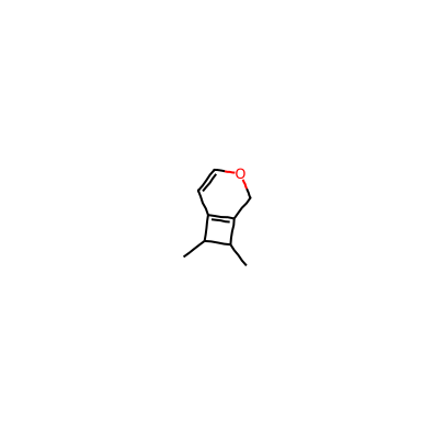 CC1C2=C(COC=C2)C1C